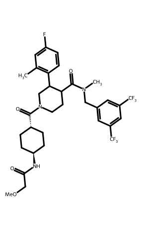 COCC(=O)N[C@H]1CC[C@H](C(=O)N2CCC(C(=O)N(C)Cc3cc(C(F)(F)F)cc(C(F)(F)F)c3)C(c3ccc(F)cc3C)C2)CC1